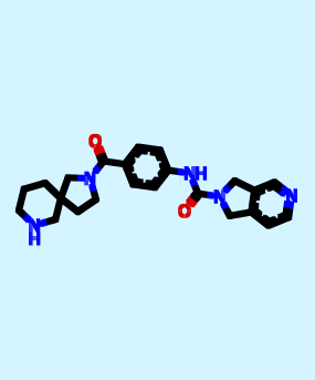 O=C(Nc1ccc(C(=O)N2CCC3(CCCNC3)C2)cc1)N1Cc2ccncc2C1